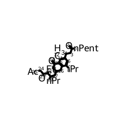 CCCCCC(=O)CCc1cc(C(C)C)c2c(c1C)C(=O)CC(CC(CCC)C(CC)C(=O)CC(C)=O)C2